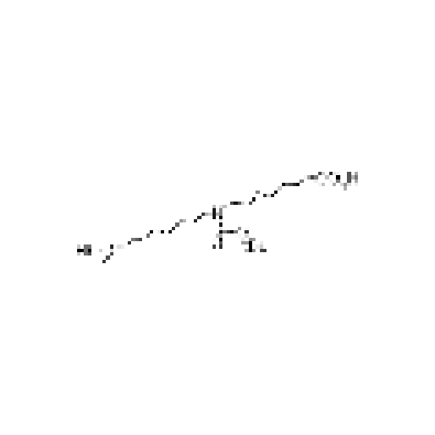 CC(C)(C)OC(=O)N(CCCCC/C=C/C(=O)O)CCCCCCCC(=O)O